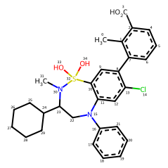 Cc1c(C(=O)O)cccc1-c1cc2c(cc1Cl)N(c1ccccc1)CC(C1CCCCC1)N(C)S2(O)O